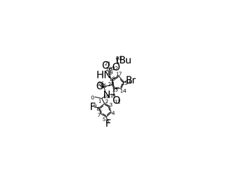 CC(c1ccc(F)cc1F)N1C(=O)c2cc(Br)cc(NC(=O)OC(C)(C)C)c2C1=O